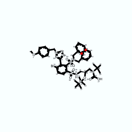 COc1ccc(Cn2nnc(-c3c(Br)ccc(S(=O)(=O)NC[C@@H](CN(C(=O)O)C(C)(C)C)O[Si](C)(C)C(C)(C)C)c3S(=O)(=O)N(Cc3ccccc3)Cc3ccccc3)n2)cc1